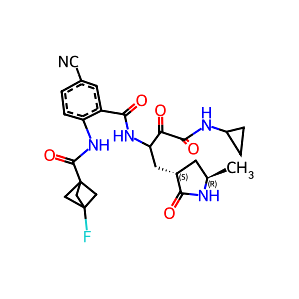 C[C@@H]1C[C@@H](CC(NC(=O)c2cc(C#N)ccc2NC(=O)C23CC(F)(C2)C3)C(=O)C(=O)NC2CC2)C(=O)N1